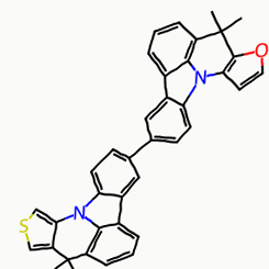 CC1(C)c2cscc2-n2c3ccc(-c4ccc5c(c4)c4cccc6c4n5-c4ccoc4C6(C)C)cc3c3cccc1c32